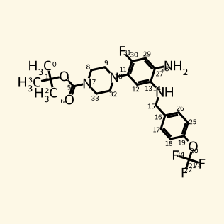 CC(C)(C)OC(=O)N1CCN(c2cc(NCc3ccc(OC(F)(F)F)cc3)c(N)cc2F)CC1